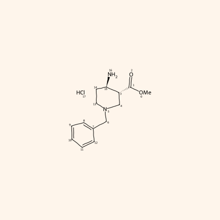 COC(=O)[C@@H]1CN(Cc2ccccc2)CC[C@H]1N.Cl